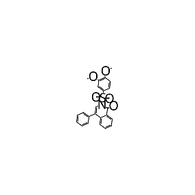 COc1ccc(S(=O)(=O)n2cc(-c3ccccc3)c3ccccc3c2=O)cc1OC